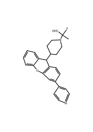 CC(F)(C=O)N1CCC(C2c3ccccc3Oc3cc(-c4ccncc4)ccc32)CC1